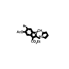 CCOC(=O)c1c(C[SH]2C=CC=C2)n(C)c2cc(Br)c(OC(C)=O)cc12